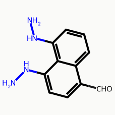 NNc1cccc2c(C=O)ccc(NN)c12